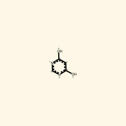 Oc1cc(O)n[c]n1